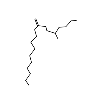 C=C(CCCCCCCCCC)CCC(C)CCCC